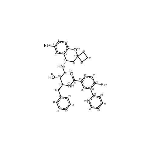 CCc1ccc2c(c1)[C@@H](NC[C@@H](O)[C@H](Cc1ccccc1)NC(=O)c1ccc(F)c(-c3ccccn3)c1)CC1(CCC1)O2